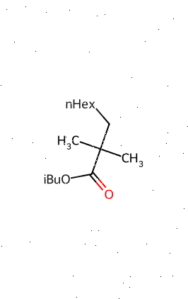 CCCCCCCC(C)(C)C(=O)OCC(C)C